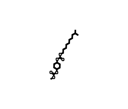 COC(=O)OC1CCC(OC(=O)OCCCCCCCCC(C)C)CC1